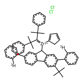 [2H]c1ccccc1-c1ccc2c(c1)[CH]([Zr+2]([C]1=CC=CC1)=[C](C(C)(C)c1ccccc1)C(C)(C)c1ccccc1)c1cc(-c3ccccc3[2H])c(C(C)(C)C)cc1-2.[Cl-].[Cl-]